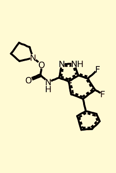 O=C(Nc1n[nH]c2c(F)c(F)c(-c3ccccc3)cc12)ON1CCCC1